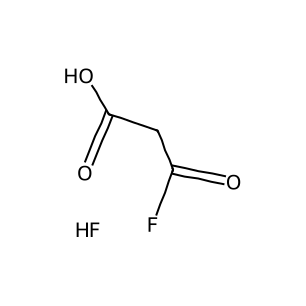 F.O=C(O)CC(=O)F